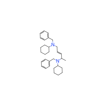 CC(C=CCN(Cc1ccccc1)C1CCCCC1)N(Cc1ccccc1)C1CCCCC1